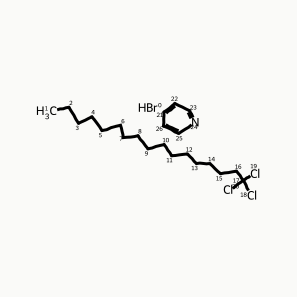 Br.CCCCCCCCCCCCCCCCC(Cl)(Cl)Cl.c1ccncc1